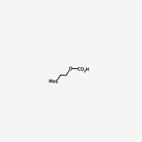 CSCCOC(=O)O